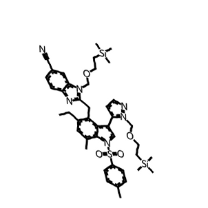 CCc1cc(C)c2c(c(-c3ccnn3COCC[Si](C)(C)C)cn2S(=O)(=O)c2ccc(C)cc2)c1Cc1nc2ccc(C#N)cc2n1COCC[Si](C)(C)C